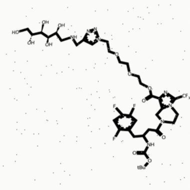 CC(C)(C)OC(=O)NC(CC(=O)N1CCn2c(C(F)(F)F)nc(C(=O)OCCOCCOCCn3cc(CNC[C@H](O)[C@@H](O)[C@H](O)[C@H](O)CO)nn3)c2C1)Cc1cc(F)c(F)cc1F